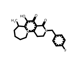 CC1CCCCn2c3c(c(=O)c(O)c21)C(=O)N(Cc1ccc(F)cc1)CC3